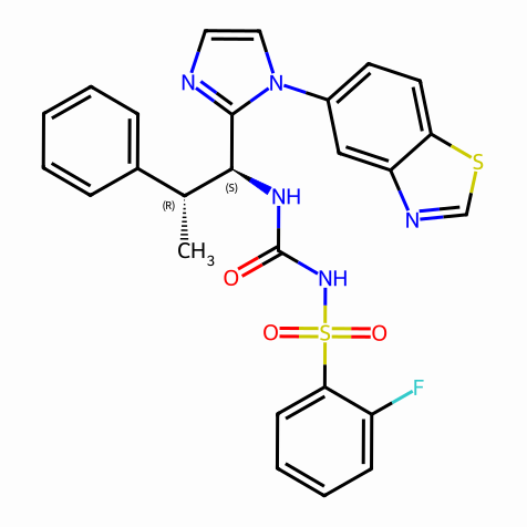 C[C@H](c1ccccc1)[C@H](NC(=O)NS(=O)(=O)c1ccccc1F)c1nccn1-c1ccc2scnc2c1